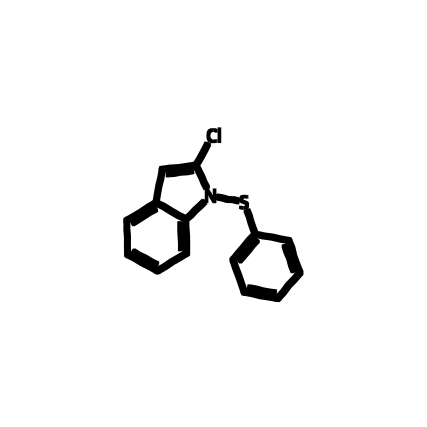 Clc1cc2ccccc2n1Sc1ccccc1